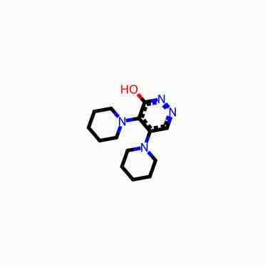 Oc1nncc(N2CCCCC2)c1N1CCCCC1